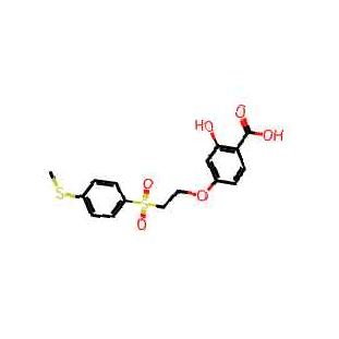 CSc1ccc(S(=O)(=O)CCOc2ccc(C(=O)O)c(O)c2)cc1